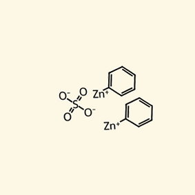 O=S(=O)([O-])[O-].[Zn+][c]1ccccc1.[Zn+][c]1ccccc1